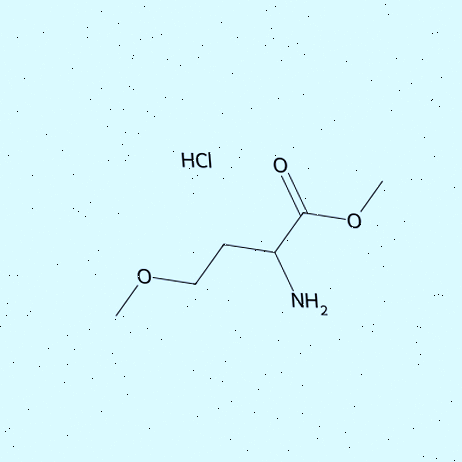 COCCC(N)C(=O)OC.Cl